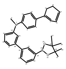 CN(c1ccc(C2=CC=CCC2)cc1)c1cccc(-c2cccc(B3OC(C)(C)C(C)(C)O3)c2)c1